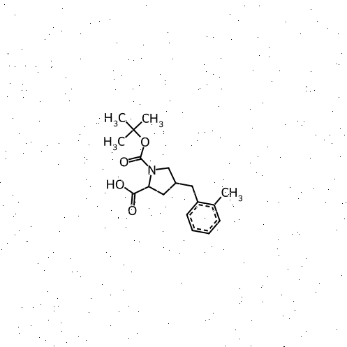 Cc1ccccc1CC1CC(C(=O)O)N(C(=O)OC(C)(C)C)C1